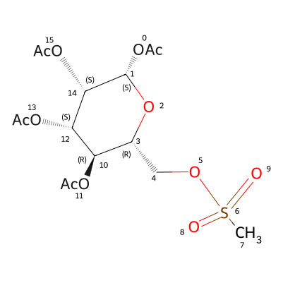 CC(=O)O[C@@H]1O[C@H](COS(C)(=O)=O)[C@@H](OC(C)=O)[C@H](OC(C)=O)[C@@H]1OC(C)=O